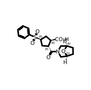 O=C(O)[C@@H]1C[C@H](S(=O)(=O)c2ccccc2)C[C@H]1C(=O)N1C[C@H]2CC[C@@H](C1)O2